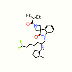 CCC(CC)C(=O)N1CC2(C1)C(=O)N(C/C(CCCCC(F)F)=N/C1=C(C)CCC1)c1ccccc12